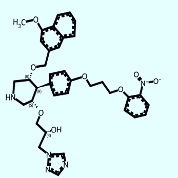 COc1cc(CO[C@H]2CNC[C@@H](OC[C@H](O)Cn3cncn3)[C@@H]2c2ccc(OCCCOc3ccccc3[N+](=O)[O-])cc2)cc2ccccc12